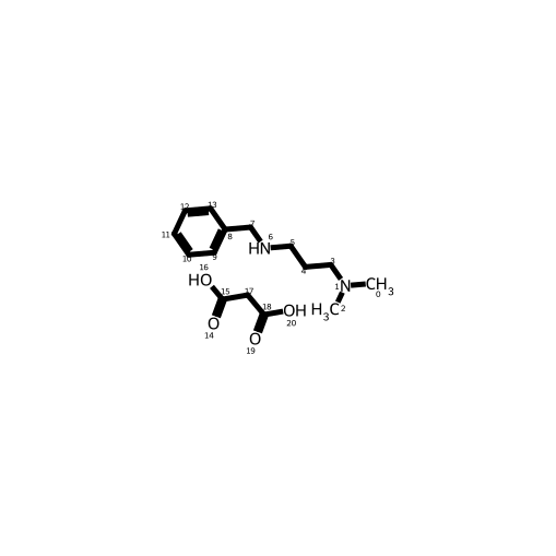 CN(C)CCCNCc1ccccc1.O=C(O)CC(=O)O